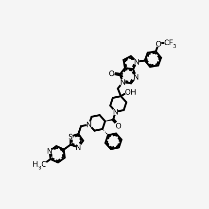 Cc1ccc(-c2ncc(CN3CC[C@@H](C(=O)N4CCC(O)(Cn5cnc6c(ccn6-c6cccc(OC(F)(F)F)c6)c5=O)CC4)[C@H](c4ccccc4)C3)s2)cn1